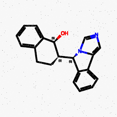 O[C@@H]1c2ccccc2CC[C@H]1[C@H]1c2ccccc2-c2cncn21